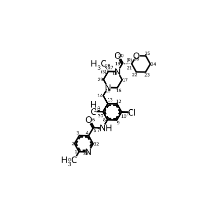 Cc1ccc(C(=O)Nc2cc(Cl)cc(CN3CCN(C(=O)[C@H]4CCCCO4)[C@@H](C)C3)c2C)cn1